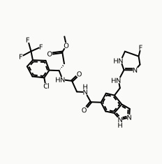 COC(=O)C[C@H](NC(=O)CNC(=O)c1cc(CNC2=NCC(F)CN2)c2cn[nH]c2c1)c1cc(C(F)(F)F)ccc1Cl